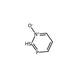 [O-][n+]1cccp[siH]1